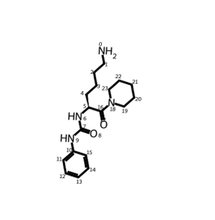 NCCCC[C@H](NC(=O)Nc1ccccc1)C(=O)N1CCCCC1